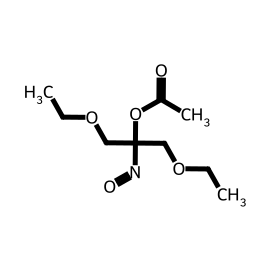 CCOCC(COCC)(N=O)OC(C)=O